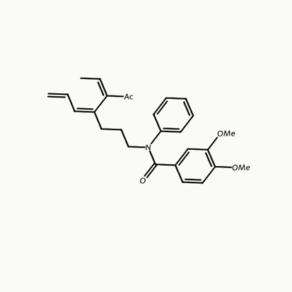 C=C/C=C(CCCN(C(=O)c1ccc(OC)c(OC)c1)c1ccccc1)\C(=C/C)C(C)=O